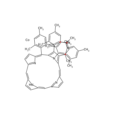 Cc1cc(C)c(-c2c(-c3c(C)cc(C)cc3C)c3c(-c4c(C)cc(C)cc4C)c4nc(cc5ccc(cc6nc(cc2n3-c2c(C)cc(C)cc2C)C=C6)[nH]5)C=C4)c(C)c1.[Co]